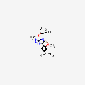 CCCC(CC)Oc1nc(Br)c(-c2ccc(C(C)C)cc2OC)nc1NC